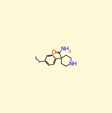 NC(=O)C1(c2ccc(CI)cc2)CCNCC1